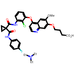 CCN(CC)CC.COc1cc2c(Oc3cccc(NC(=O)C4(C(=O)Nc5ccc(F)cc5)CC4)c3Cl)ccnc2cc1OCCCC(=O)O